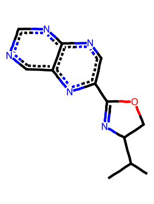 CC(C)C1COC(c2cnc3ncncc3n2)=N1